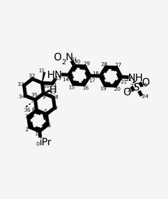 CC(C)c1ccc2c(c1)CC[C@H]1[C@@](C)(CNc3ccc(-c4ccc(NS(C)(=O)=O)cc4)cc3[N+](=O)[O-])CCC[C@]21C